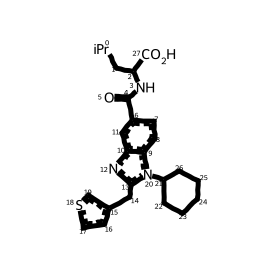 CC(C)CC(NC(=O)c1ccc2c(c1)nc(Cc1ccsc1)n2C1CCCCC1)C(=O)O